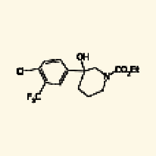 CCOC(=O)N1CCCC(O)(c2ccc(Cl)c(C(F)(F)F)c2)C1